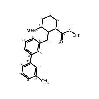 CCNC(=O)N1CCCC(NC)C1Cc1cccc(-c2cccc(C)c2)c1